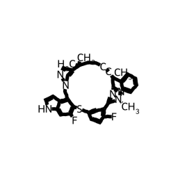 Cn1nc2nc1-c1cc(ccc1F)Sc1c(F)cc3[nH]ccc3c1Cn1cc(cn1)C(C)(C)CCCCC2(C)c1ccccc1